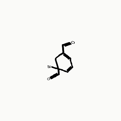 O=CC1=CC=CC(Br)(C=O)C1